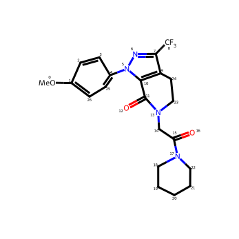 COc1ccc(-n2nc(C(F)(F)F)c3c2C(=O)N(CC(=O)N2CCCCC2)CC3)cc1